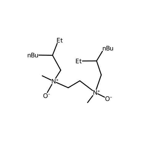 CCCCC(CC)C[N+](C)([O-])CC[N+](C)([O-])CC(CC)CCCC